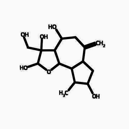 C=C1CC(O)C2C(OC(O)C2(O)CO)C2C1CC(O)C2C